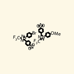 COc1ccc(-n2nc(C(F)(F)F)nc2-c2ccc(S(C)(=O)=O)cc2)cc1.CS(=O)(=O)c1ccc(-c2nc(C(F)(F)F)nn2-c2ccc(Br)cc2)cc1